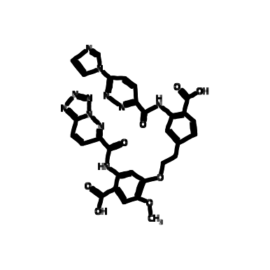 COc1cc(C(=O)O)c(NC(=O)c2ccc3nnnn3n2)cc1OCCc1ccc(C(=O)O)c(NC(=O)c2ccc(-n3ccnc3)nn2)c1